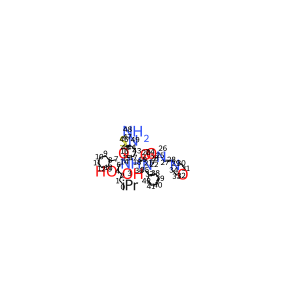 CC(C)C[C@H](O)[C@H](O)[C@H](CC1CCCCC1)NC(=O)[C@@H](CC(=O)N(CC(=O)N(C)CCN1CCOCC1)[C@@H](C)c1ccccc1)Cc1csc(N)n1